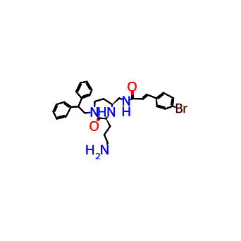 NCCC[C@@H]1N[C@H](CNC(=O)C=Cc2ccc(Br)cc2)CCN(CC(c2ccccc2)c2ccccc2)C1=O